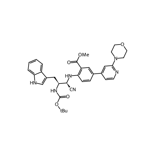 COC(=O)c1cc(-c2ccnc(N3CCOCC3)c2)ccc1N[C@@H](C#N)[C@H](Cc1c[nH]c2ccccc12)NC(=O)OC(C)(C)C